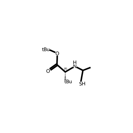 CC(S)N[C@@H](C(=O)OC(C)(C)C)C(C)(C)C